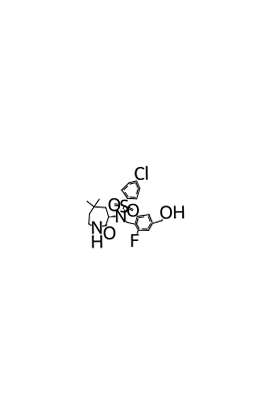 CC1(C)CCNC(=O)[C@H](N(Cc2ccc(CO)cc2F)S(=O)(=O)c2ccc(Cl)cc2)C1